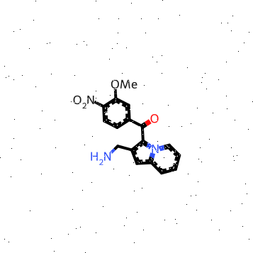 COc1cc(C(=O)c2c(CN)cc3ccccn23)ccc1[N+](=O)[O-]